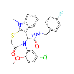 COc1ccc(Cl)cc1N1C(=O)CSc2c(c3ccccc3n2C)C1C(=O)NCc1ccc(F)cc1